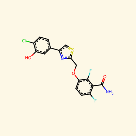 NC(=O)c1c(F)ccc(OCc2nc(-c3ccc(Cl)c(O)c3)cs2)c1F